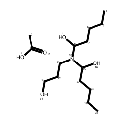 CC(=O)O.CCCCC(O)N(CCCO)C(O)CCCC